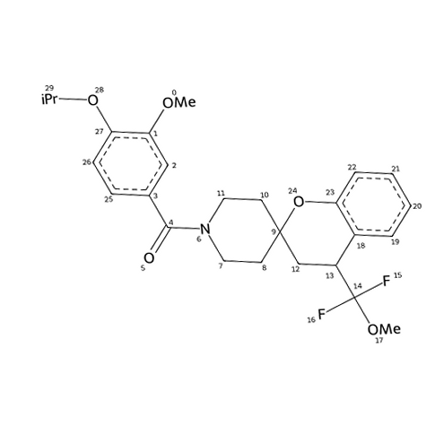 COc1cc(C(=O)N2CCC3(CC2)CC(C(F)(F)OC)c2ccccc2O3)ccc1OC(C)C